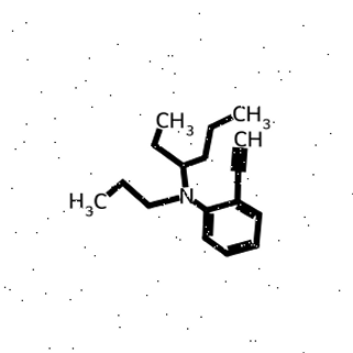 C#Cc1ccccc1N(CCC)C(CC)CCC